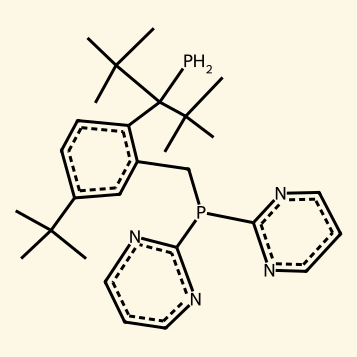 CC(C)(C)c1ccc(C(P)(C(C)(C)C)C(C)(C)C)c(CP(c2ncccn2)c2ncccn2)c1